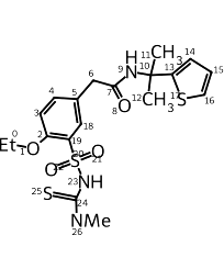 CCOc1ccc(CC(=O)NC(C)(C)c2cccs2)cc1S(=O)(=O)NC(=S)NC